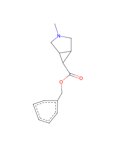 CN1CC2C(C1)C2C(=O)OCc1ccccc1